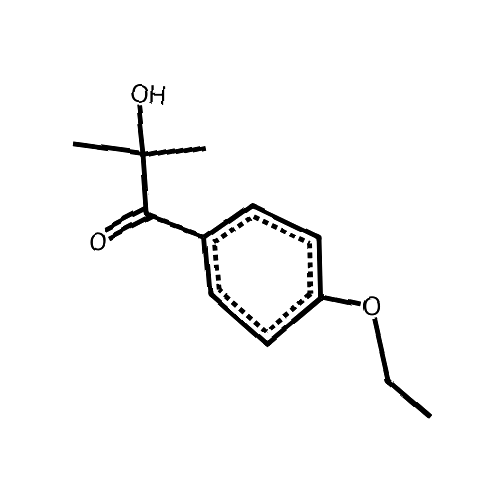 CCOc1ccc(C(=O)C(C)(C)O)cc1